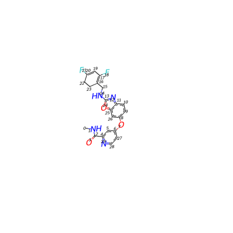 CNC(=O)c1cc(Oc2ccc3nc(NCC4=C(F)C=C(F)CC4)oc3c2)ccn1